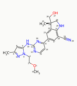 COCCn1nc(C)cc1Nc1nccc(-c2cc(C#N)c3c(c2)[C@](C)(CO)CN3)n1